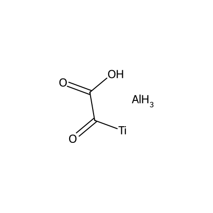 O=C(O)[C](=O)[Ti].[AlH3]